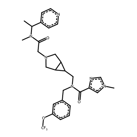 CC(c1ccncc1)N(C)C(=O)CN1CC2C(C1)C2CN(Cc1cccc(OC(F)(F)F)c1)C(=O)c1cn(C)cn1